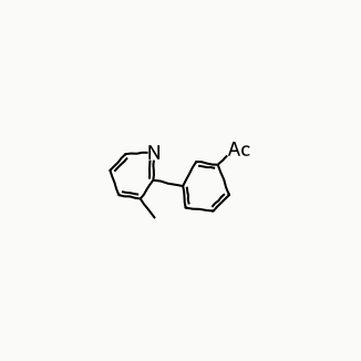 CC(=O)c1cccc(-c2ncccc2C)c1